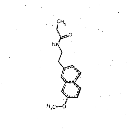 CCC(=O)NCCc1ccc2ccc(OC)cc2c1